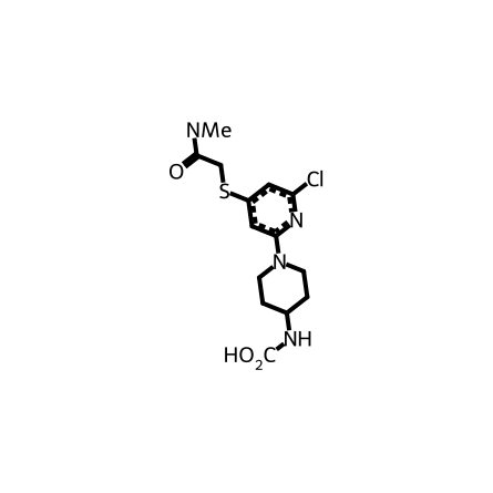 CNC(=O)CSc1cc(Cl)nc(N2CCC(NC(=O)O)CC2)c1